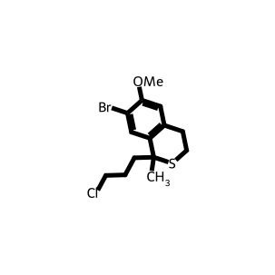 COc1cc2c(cc1Br)C(C)(CCCCl)SCC2